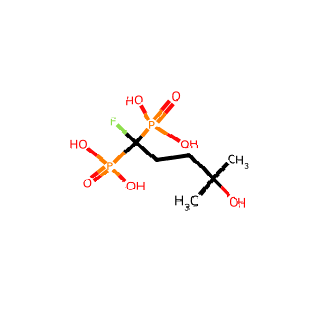 CC(C)(O)CCC(F)(P(=O)(O)O)P(=O)(O)O